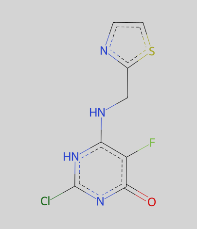 O=c1nc(Cl)[nH]c(NCc2nccs2)c1F